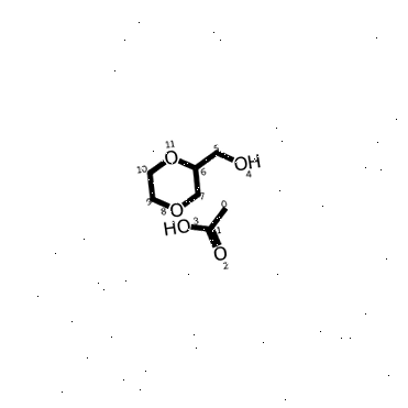 CC(=O)O.OCC1COCCO1